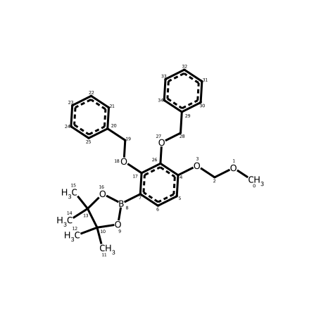 COCOc1ccc(B2OC(C)(C)C(C)(C)O2)c(OCc2ccccc2)c1OCc1ccccc1